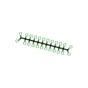 Cl[C](Cl)C(Cl)(Cl)C(Cl)(Cl)C(Cl)(Cl)C(Cl)(Cl)C(Cl)(Cl)C(Cl)(Cl)C(Cl)(Cl)C(Cl)(Cl)C(Cl)(Cl)C(Cl)(Cl)[C](Cl)Cl